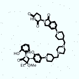 CC[C@@]1(OC)C(=O)N(c2ccccc2O)[C@H]1c1ccc(N2CCC(CN3CCN(CC4CCN(c5ccc6c(c5)CN(C5CCC(=O)NC5=O)C6=O)CC4)CC3)CC2)cc1OC